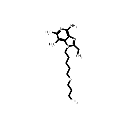 CCCCSCCCCCn1c(CC)nc2c(N)nc(C)c(C)c21